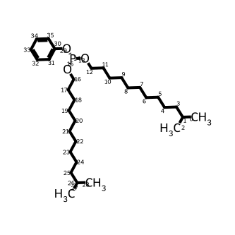 CC(C)CCCCCCCCCCOP(OCCCCCCCCCCC(C)C)Oc1ccccc1